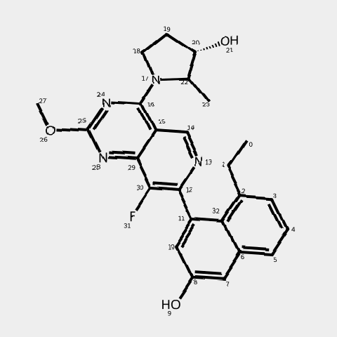 CCc1cccc2cc(O)cc(-c3ncc4c(N5CC[C@H](O)C5C)nc(OC)nc4c3F)c12